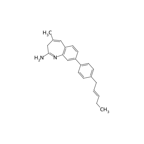 CC/C=C/Cc1ccc(-c2ccc3c(c2)N=C(N)CC(C)=C3)cc1